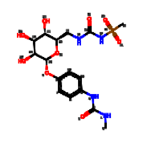 CNC(=O)Nc1ccc(O[C@H]2O[C@H](CNC(=O)NS(C)(=O)=O)[C@@H](O)[C@H](O)[C@@H]2O)cc1